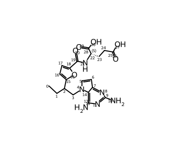 CCC(Cn1ccc2nc(N)nc(N)c21)c1ccc(C(=O)N[C@@H](CCC(=O)O)C(=O)O)o1